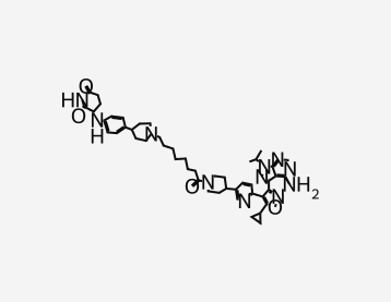 CC(C)n1nc(-c2noc(C3CC3)c2-c2ccc(C3CCN(C(=O)CCCCCCCN4CCC(c5ccc(N[C@@H]6CCC(=O)NC6=O)cc5)CC4)CC3)cn2)c2c(N)ncnc21